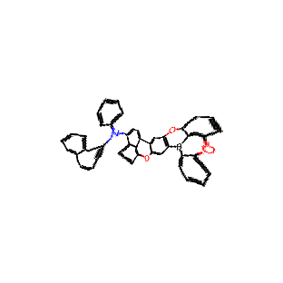 c1ccc(N(c2cccc3ccccc23)c2ccc3c4c(cccc24)Oc2cc4c(cc2-3)Oc2cccc3c2B4c2ccccc2O3)cc1